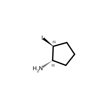 N[C@H]1CCC[C@@H]1I